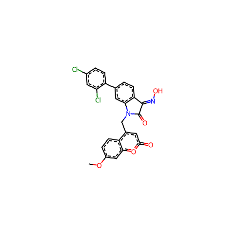 COc1ccc2c(CN3C(=O)/C(=N/O)c4ccc(-c5ccc(Cl)cc5Cl)cc43)cc(=O)oc2c1